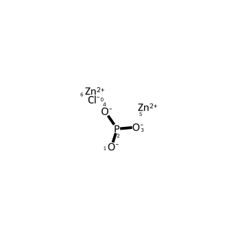 [Cl-].[O-]P([O-])[O-].[Zn+2].[Zn+2]